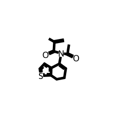 C=C(C)C(=O)N(C(C)=O)C1=CCCc2sccc21